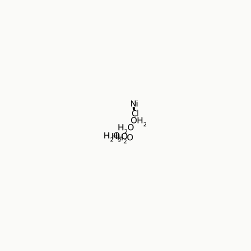 O.O.O.O.O.[Cl][Ni]